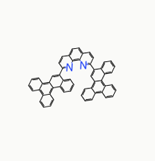 c1ccc2c(c1)c(-c1ccc3ccc4ccc(-c5cc6c7ccccc7c7ccccc7c6c6ccccc56)nc4c3n1)cc1c3ccccc3c3ccccc3c21